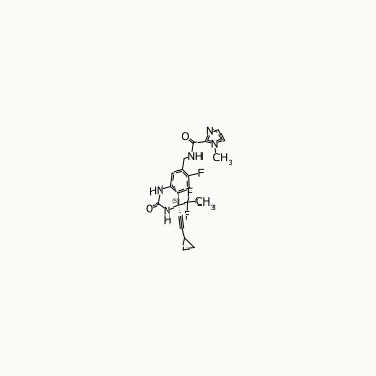 Cn1ccnc1C(=O)NCc1cc2c(cc1F)[C@@](C#CC1CC1)(C(C)(F)F)NC(=O)N2